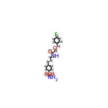 NS(=O)(=O)c1ccc(CCCNC(=O)COCc2ccc(F)cc2)cc1